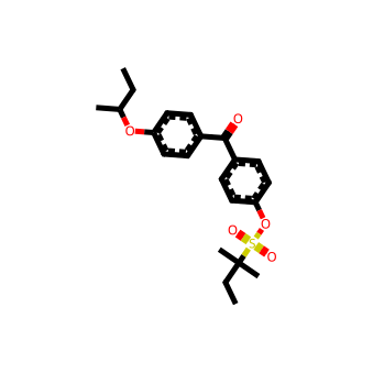 CCC(C)Oc1ccc(C(=O)c2ccc(OS(=O)(=O)C(C)(C)CC)cc2)cc1